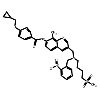 Cc1c(NC(=O)c2ccc(OCC3CC3)cc2)ccc2cc(CN(CCCCS(C)(=O)=O)Cc3ccccc3[N+](=O)[O-])cnc12